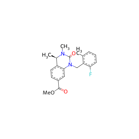 COC(=O)c1ccc2c(c1)N(Cc1c(C)cccc1F)C(=O)N(C)[C@@H]2C